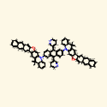 CC1(C)c2ccccc2N(c2ccc3c(-c4cccnc4)c4cc(N5c6ccccc6C(C)(C)c6cc7c(cc65)oc5cc6cc8ccccc8cc6cc57)ccc4c(-c4cccnc4)c3c2)c2cc3oc4cc5cc6ccccc6cc5cc4c3cc21